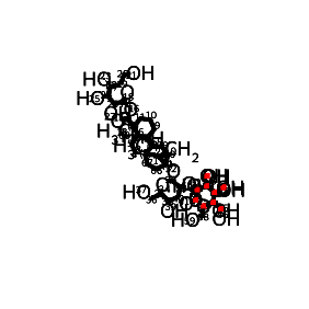 C=C1C[C@@]23CC[C@H]4[C@@](C)(CCC[C@@]4(C)C(=O)O[C@@H]4OC(CO)[C@@H](O)C(O)C4O)[C@@H]2CC[C@]1(OC1OC(CO)C(O)C(OC2OC(CO)C(O)C(O)C2O)C1OC1OC(CO)C(O)C(O)C1O)CC3